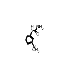 C=NC1=CCCC(NC(N)=O)=C1